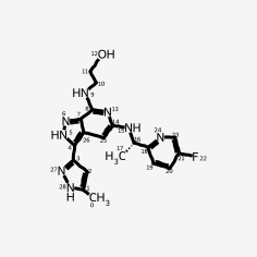 Cc1cc(-c2[nH]nc3c(NCCO)nc(N[C@@H](C)c4ccc(F)cn4)cc23)n[nH]1